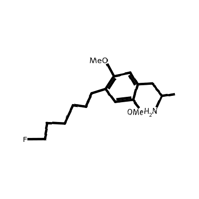 COc1cc(CC(C)N)c(OC)cc1CCCCCCF